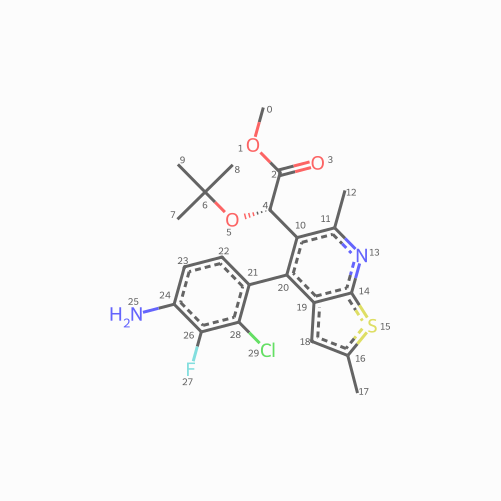 COC(=O)[C@@H](OC(C)(C)C)c1c(C)nc2sc(C)cc2c1-c1ccc(N)c(F)c1Cl